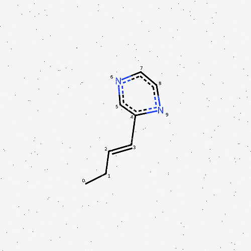 CCC=Cc1cnccn1